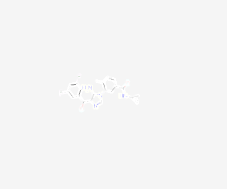 Cc1ccc(C(=O)NC2CC2)cc1-n1cnc(C(=O)c2cc(F)cc(F)c2)c1N